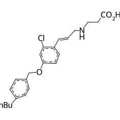 CCCCc1ccc(COc2ccc(C=CCNCCC(=O)O)c(Cl)c2)cc1